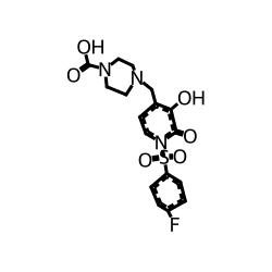 O=C(O)N1CCN(Cc2ccn(S(=O)(=O)c3ccc(F)cc3)c(=O)c2O)CC1